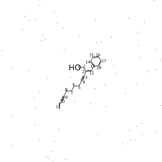 OCC(C#CCCCCC#CI)=Cc1ccccc1